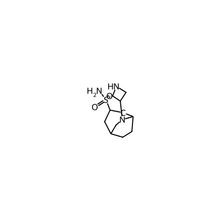 NS(=O)(=O)C1CC2CCC(C1)N(C1CNC1)C2